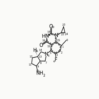 Cc1cc(F)c(N2CC3C(N)CC[C@H]3C2)c2c(=O)[nH]c(=O)n(C3CC3)c12